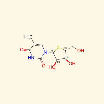 Cc1cn([C@@H]2S[C@H](CO)[C@@H](O)[C@H]2O)c(=O)[nH]c1=O